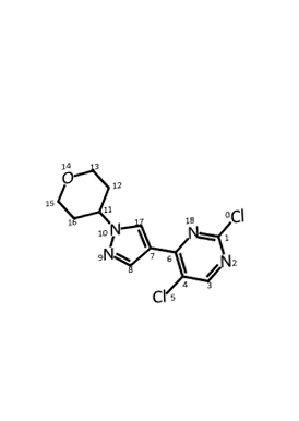 Clc1ncc(Cl)c(-c2cnn(C3CCOCC3)c2)n1